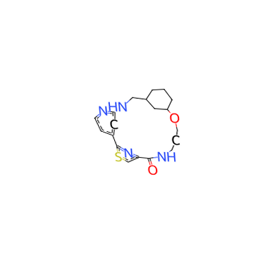 O=C1NCCCOC2CCCC(CNc3cc(ccn3)-c3nc1cs3)C2